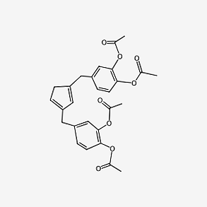 CC(=O)Oc1ccc(CC2=CCC(Cc3ccc(OC(C)=O)c(OC(C)=O)c3)=C2)cc1OC(C)=O